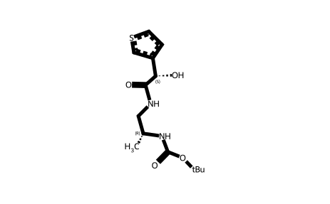 C[C@H](CNC(=O)[C@@H](O)c1ccsc1)NC(=O)OC(C)(C)C